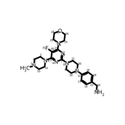 CN1CCN(c2nc(N3CCN(c4ccc(CN)cc4)CC3)nc(N3CCOCC3)c2F)CC1